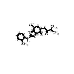 Cc1ccccc1Nc1nc2c(Cl)cc(CC(=O)C(C)C)c(F)c2s1